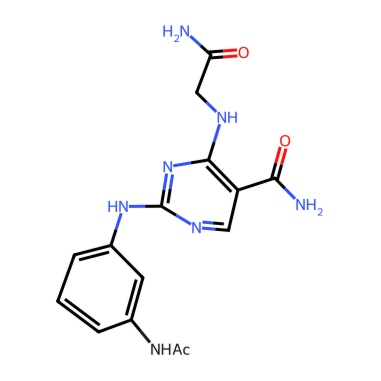 CC(=O)Nc1cccc(Nc2ncc(C(N)=O)c(NCC(N)=O)n2)c1